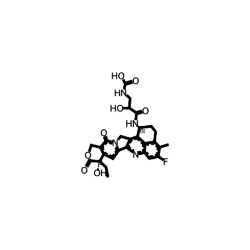 CC[C@@]1(O)C(=O)OCc2c1cc1n(c2=O)Cc2c-1nc1cc(F)c(C)c3c1c2[C@@H](NC(=O)C(O)CNC(=O)O)CC3